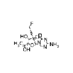 C[C@@H](O)[C@H]1O[C@@H](n2cnc(N)nc2=O)[C@@](Cl)(C#CCF)C1O